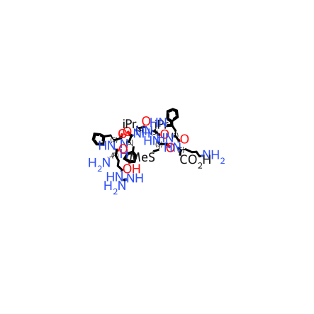 CSCC[C@H](NC(=O)[C@@H](NC(=O)[C@@H](NC(=O)[C@H](Cc1ccc(O)cc1)NC(=O)[C@H](Cc1ccccc1)NC(=O)[C@@H](CN)CCCNC(=N)N)C(C)C)C(C)C)C(=O)N[C@@H](Cc1c[nH]c2ccccc12)C(=O)N[C@@H](CCCCN)CC(=O)O